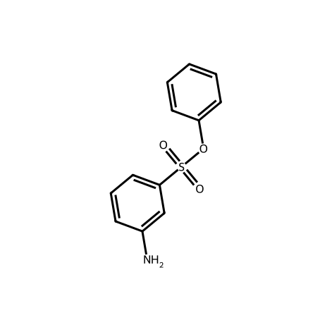 Nc1cccc(S(=O)(=O)Oc2ccccc2)c1